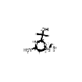 CC(C)(O)c1nccc(N)n1.[Br-].[CH3][Mg+]